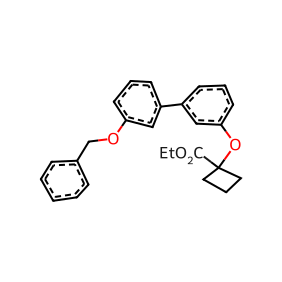 CCOC(=O)C1(Oc2cccc(-c3cccc(OCc4ccccc4)c3)c2)CCC1